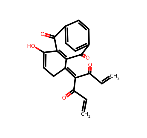 C=CC(=O)C(C(=O)C=C)=C1CC=C(O)c2c1c(=O)c1ccc(cc1)c2=O